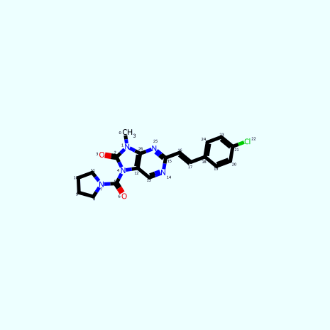 Cn1c(=O)n(C(=O)N2CCCC2)c2cnc(/C=C/c3ccc(Cl)cc3)nc21